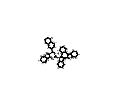 c1ccc2cc(C3NC(n4c5ccccc5c5c6sc7ccccc7c6c6ccccc6c54)=Nc4c3sc3ccccc43)ccc2c1